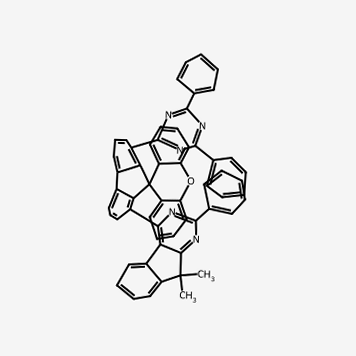 CC1(C)c2ccccc2-c2c(-c3cccc4c3C3(c5ccccc5Oc5ccccc53)c3c(-c5nc(-c6ccccc6)nc(-c6ccccc6)n5)cccc3-4)nc(-c3ccccc3)nc21